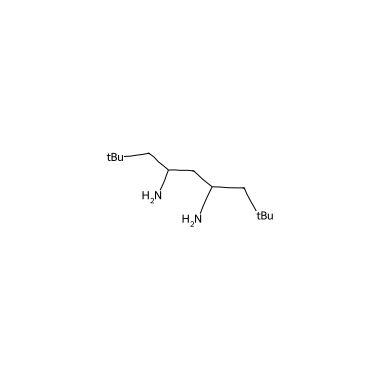 CC(C)(C)CC(N)CC(N)CC(C)(C)C